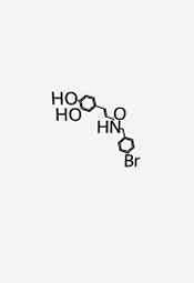 O=C(/C=C/c1ccc(O)c(O)c1)NCc1ccc(Br)cc1